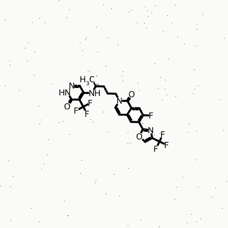 C[C@@H](CCCn1ccc2cc(-c3nc(C(F)(F)F)co3)c(F)cc2c1=O)Nc1cn[nH]c(=O)c1C(F)(F)F